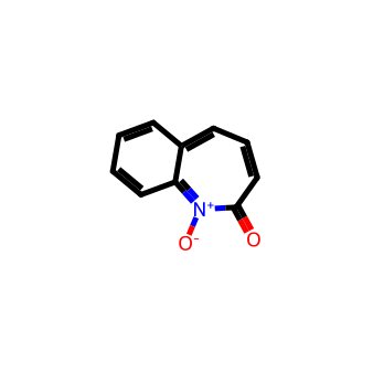 O=c1cccc2ccccc2[n+]1[O-]